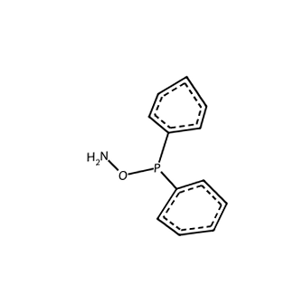 NOP(c1ccccc1)c1ccccc1